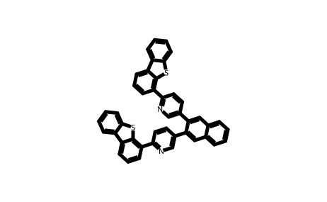 c1ccc2cc(-c3ccc(-c4cccc5c4sc4ccccc45)nc3)c(-c3ccc(-c4cccc5c4sc4ccccc45)nc3)cc2c1